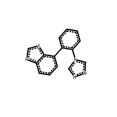 c1ccc(-n2cnnc2)c(-c2cccc3ncsc23)c1